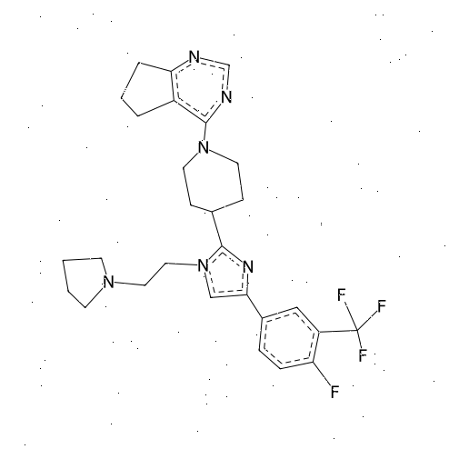 Fc1ccc(-c2cn(CCN3CCCC3)c(C3CCN(c4ncnc5c4CCC5)CC3)n2)cc1C(F)(F)F